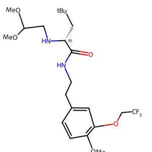 COc1ccc(CCNC(=O)[C@@H](CC(C)(C)C)NCC(OC)OC)cc1OCC(F)(F)F